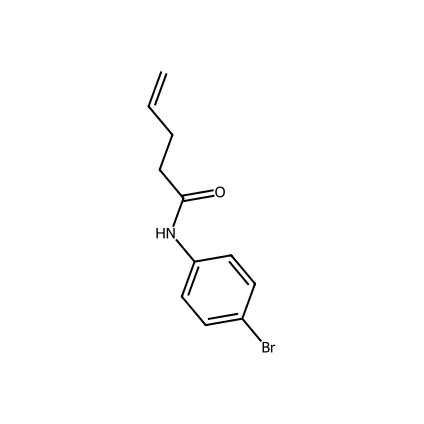 C=CCCC(=O)Nc1ccc(Br)cc1